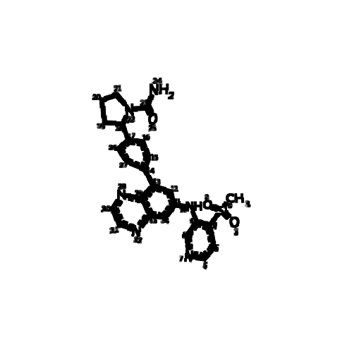 CS(=O)(=O)c1ccncc1Nc1cc(-c2ccc(C3CCCN3C(N)=O)cc2)c2nccnc2c1